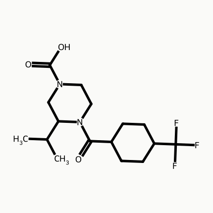 CC(C)C1CN(C(=O)O)CCN1C(=O)C1CCC(C(F)(F)F)CC1